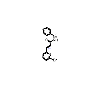 C[C@H](NC(=O)/C=C/c1cccc(Br)n1)c1ccccc1